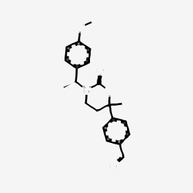 COc1ccc([C@H](C)N2CCC(C)(c3ccc(C=O)cc3)OC2=O)cc1